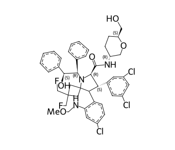 COCNc1cc(Cl)ccc1C1[C@@H](c2cc(Cl)cc(Cl)c2)[C@H](C(=O)N[C@@H]2CC[C@@H](CO)OC2)N([C@H](c2ccccc2)[C@@H](O)c2ccccc2)C12CC(CF)(CF)C2